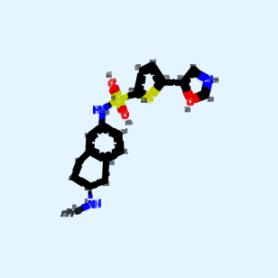 CCCN[C@@H]1CCc2cc(NS(=O)(=O)c3ccc(-c4cnco4)s3)ccc2C1